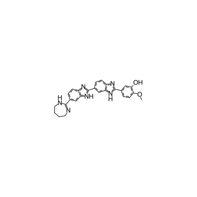 COc1ccc(-c2nc3ccc(-c4nc5ccc(C6=NCCCCN6)cc5[nH]4)cc3[nH]2)cc1O